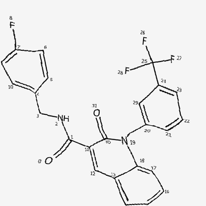 O=C(NCc1ccc(F)cc1)c1cc2ccccc2n(-c2cccc(C(F)(F)F)c2)c1=O